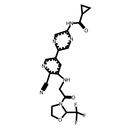 N#Cc1ncc(-c2cnc(NC(=O)C3CC3)cn2)cc1NCC(=O)N1CCOC1C(F)(F)F